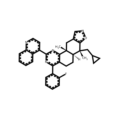 C[C@@]12Cc3cnoc3[C@](C)(CC3CC3)[C@H]1CCc1c(-c3ccccc3F)nc(-c3ccnc4ccccc34)nc12